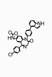 O=C1CN=C(c2ccc(Cl)cc2)c2cc3[nH]c(=O)oc3cc2N1c1ccc(-c2cccc3[nH]ccc23)cc1